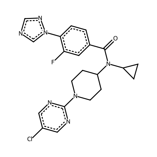 O=C(c1ccc(-n2cncn2)c(F)c1)N(C1CC1)C1CCN(c2ncc(Cl)cn2)CC1